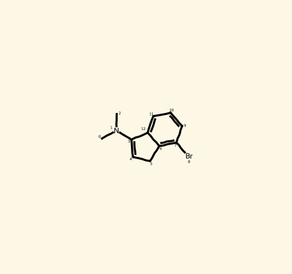 CN(C)C1=CCc2c(Br)cccc21